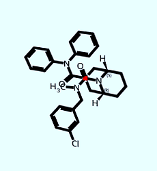 CN(Cc1cccc(Cl)c1)C(=O)N1[C@@H]2CCC[C@H]1CN(C(=O)N(c1ccccc1)c1ccccc1)C2